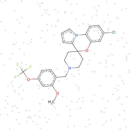 COc1cc(OC(F)(F)F)ccc1CN1CCC2(CC1)Oc1cc(Cl)ccc1-n1cccc12